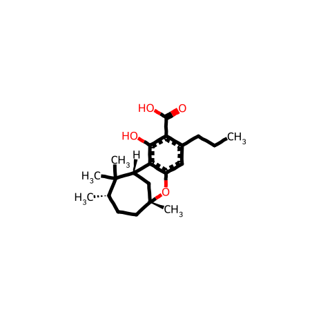 CCCc1cc2c(c(O)c1C(=O)O)[C@@H]1C[C@@](C)(CC[C@H](C)C1(C)C)O2